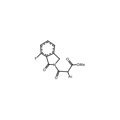 COC(=O)C(C(C)=O)C(=O)N1Cc2cccc(F)c2C1=O